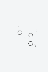 Cc1cc2cc(/C(=C/COc3ccc(OCC(=O)O)c(C)c3)c3ccc(CN(C)C)cc3)ccc2o1